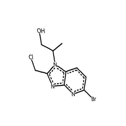 CC(CO)n1c(CCl)nc2nc(Br)ccc21